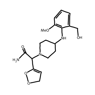 COc1cccc(CO)c1NC1CCN(C(C(N)=O)C2=CCOO2)CC1